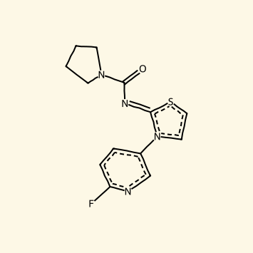 O=C(/N=c1\sccn1-c1ccc(F)nc1)N1CCCC1